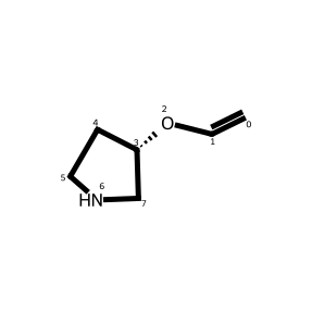 C=CO[C@H]1CCNC1